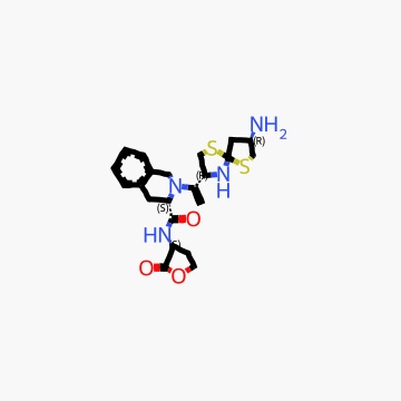 C=C([C@@H]1CSC2(C[C@@H](N)CS2)N1)N1Cc2ccccc2C[C@H]1C(=O)N[C@H]1CCOC1=O